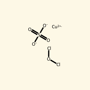 ClOCl.O=S(=O)([O-])[O-].[Cu+2]